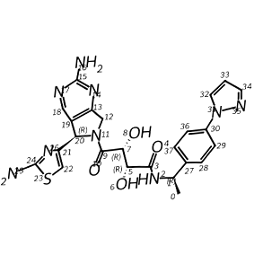 C[C@@H](NC(=O)[C@H](O)[C@@H](O)C(=O)N1Cc2nc(N)ncc2[C@@H]1c1csc(N)n1)c1ccc(-n2cccn2)cc1